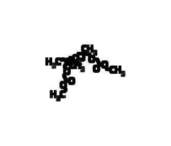 CCOC(=O)COCC(C)(CC)COCC(C)(CC)COCC(=O)OCC